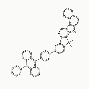 CC1(C)c2ccc(-c3ccc(-c4c5ccccc5c(-c5ccccc5)c5ccccc45)cc3)cc2-c2ccc3c(sc4ccc5ccccc5c43)c21